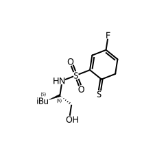 CC[C@H](C)[C@@H](CO)NS(=O)(=O)C1=CC(F)=CCC1=S